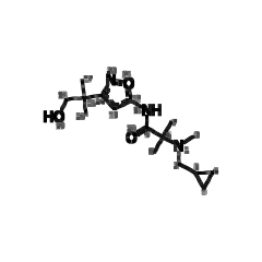 CN(CC1CC1)C(C)(C)C(=O)Nc1cc(C(C)(C)CO)no1